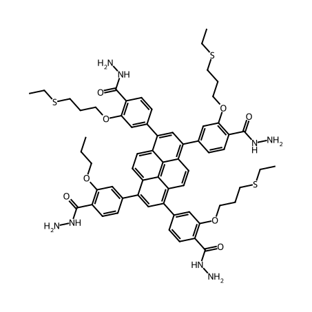 CCCOc1cc(-c2cc(-c3ccc(C(=O)NN)c(OCCCSCC)c3)c3ccc4c(-c5ccc(C(=O)NN)c(OCCCSCC)c5)cc(-c5ccc(C(=O)NN)c(OCCCSCC)c5)c5ccc2c3c54)ccc1C(=O)NN